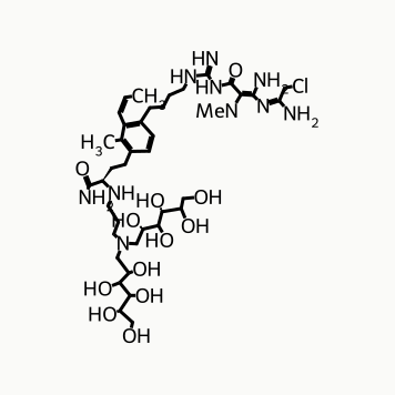 C/C=C\c1c(CCCCNC(=N)NC(=O)/C(NC)=C(N)/N=C(/N)CCl)ccc(CC[C@@H](NCCCN(CC(O)C(O)C(O)[C@H](O)CO)C[C@H](O)C(O)[C@H](O)C(O)CO)C(N)=O)c1C